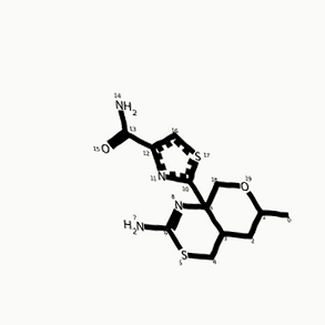 CC1CC2CSC(N)=NC2(c2nc(C(N)=O)cs2)CO1